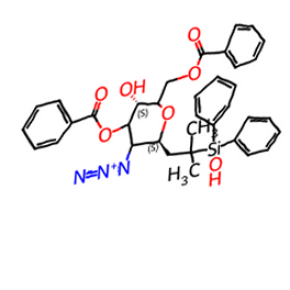 CC(C)(C[C@@H]1OC(COC(=O)c2ccccc2)[C@@H](O)C(OC(=O)c2ccccc2)C1N=[N+]=[N-])[Si](O)(c1ccccc1)c1ccccc1